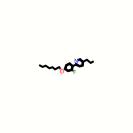 CCCCCCCOc1ccc(-c2ccc(CCC)cn2)c(F)c1